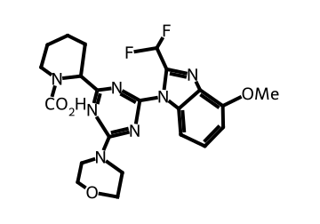 COc1cccc2c1nc(C(F)F)n2-c1nc(C2CCCCN2C(=O)O)nc(N2CCOCC2)n1